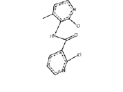 Cc1ccnc(Cl)c1NC(=O)c1cccnc1Cl